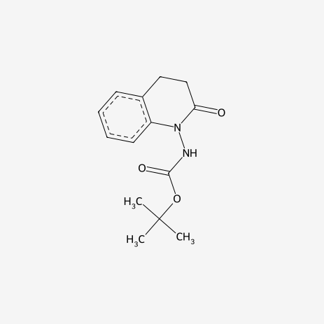 CC(C)(C)OC(=O)NN1C(=O)CCc2ccccc21